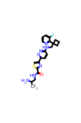 NC(CNC(=O)c1nc(-c2ccc(NCC3(c4ncccc4F)CCC3)nn2)[c]s1)C(F)(F)F